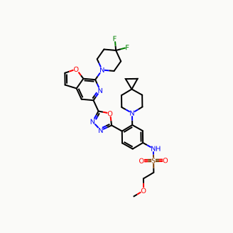 COCCS(=O)(=O)Nc1ccc(-c2nnc(-c3cc4ccoc4c(N4CCC(F)(F)CC4)n3)o2)c(N2CCC3(CC2)CC3)c1